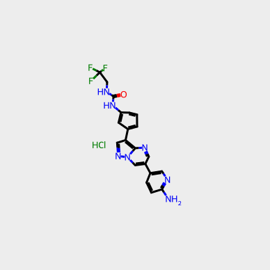 Cl.Nc1ccc(-c2cnc3c(-c4cccc(NC(=O)NCC(F)(F)F)c4)cnn3c2)cn1